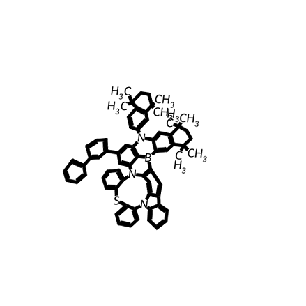 CC1(C)CCC(C)(C)c2cc(N3c4cc5c(cc4B4c6cc7c8ccccc8n8c7cc6N(c6ccccc6Sc6ccccc6-8)c6cc(-c7cccc(-c8ccccc8)c7)cc3c64)C(C)(C)CCC5(C)C)ccc21